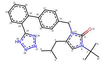 CC(C)Cc1cn(C(C)(C)C)c(=O)n1Cc1ccc(-c2ccccc2-c2nnn[nH]2)cc1